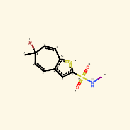 CC1(Br)C=Cc2cc(S(=O)(=O)NI)sc2C=C1